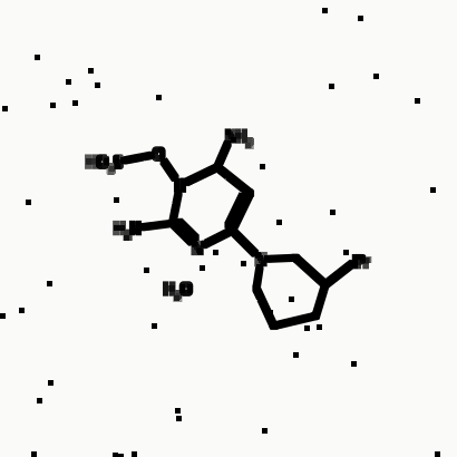 CC(C)C1CCCN(C2=CC(N)N(OS(=O)(=O)O)C(N)=N2)C1.O